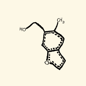 Cc1cc2ccoc2cc1CO